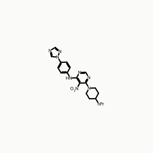 CCCC1CCN(c2ncnc(Nc3ccc(-n4cncn4)cc3)c2[N+](=O)[O-])CC1